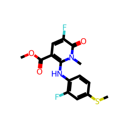 COC(=O)c1cc(F)c(=O)n(C)c1Nc1ccc(SC)cc1F